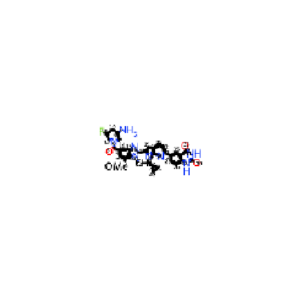 COc1cc(C(=O)N2C[C@H](N)C[C@@H](F)C2)cc2nc(-c3cc4ccc(-c5ccc6[nH]c(=O)[nH]c(=O)c6c5)nc4n3CC3CC3)n(C)c12